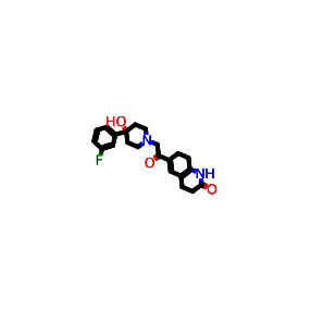 O=C1CCC2=C(CCC(C(=O)CN3CCC(O)(c4cccc(F)c4)CC3)=C2)N1